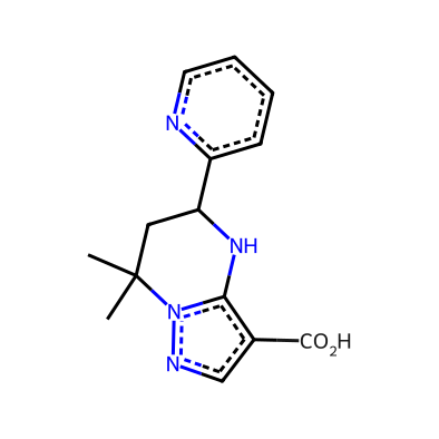 CC1(C)CC(c2ccccn2)Nc2c(C(=O)O)cnn21